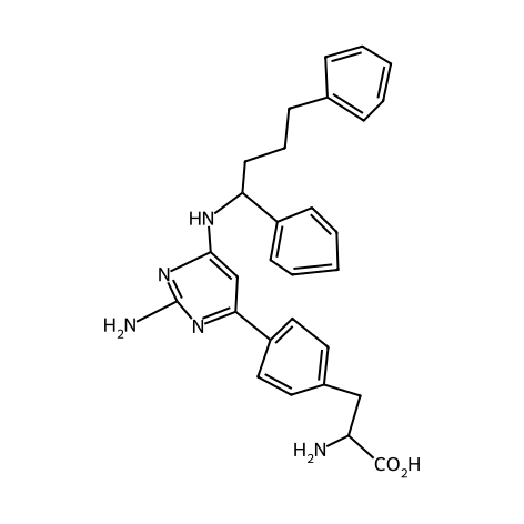 Nc1nc(NC(CCCc2ccccc2)c2ccccc2)cc(-c2ccc(CC(N)C(=O)O)cc2)n1